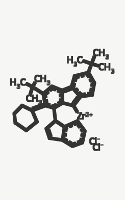 CC(C)(C)c1ccc2c(c1)=c1cc(C(C)(C)C)c(=C3CCCCC3)c(C3C=Cc4ccccc43)c1[C]=2[Zr+2].[Cl-].[Cl-]